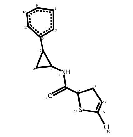 O=C(NC1CC1c1ccccc1)C1CC=C(Cl)S1